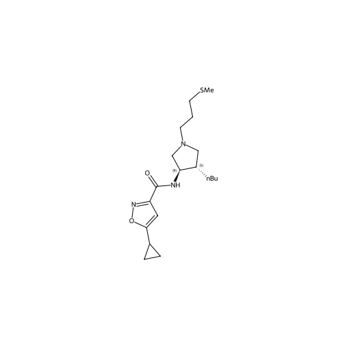 CCCC[C@H]1CN(CCCSC)C[C@@H]1NC(=O)c1cc(C2CC2)on1